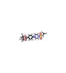 CC(C)CS(=O)(=O)N1CCN(c2ccc(B3OC(C)(C)C(C)(C)O3)cc2)CC1